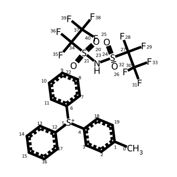 Cc1ccc([S+](c2ccccc2)c2ccccc2)cc1.O=S(=O)(NS(=O)(=O)C(F)(F)C(F)(F)F)C(F)(F)C(F)(F)F